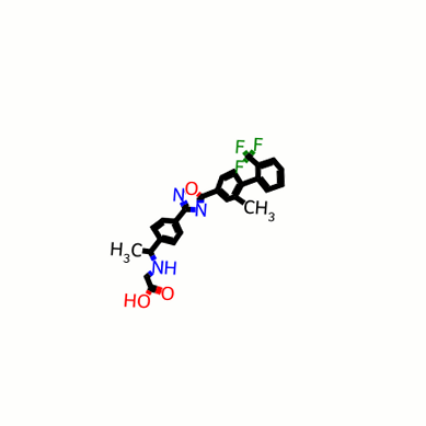 Cc1cc(-c2nc(-c3ccc(C(C)NCC(=O)O)cc3)no2)ccc1-c1ccccc1C(F)(F)F